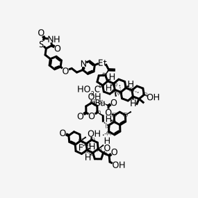 C=C(C)[C@@H]1CC[C@]2(C(=O)O)CC[C@]3(C)[C@H](CC[C@@H]4[C@@]5(C)CC[C@H](O)C(C)(C)[C@@H]5CC[C@]43C)[C@@H]12.CC[C@H](C)C(=O)O[C@H]1C[C@@H](C)C=C2C=C[C@H](C)[C@H](CC[C@@H]3C[C@@H](O)CC(=O)O3)[C@H]21.CCc1ccc(CCOc2ccc(CC3SC(=O)NC3=O)cc2)nc1.C[C@]12CCC(=O)C=C1CC[C@H]1[C@@H]3CC[C@](O)(C(=O)CO)[C@@]3(C)C[C@H](O)[C@@]12F